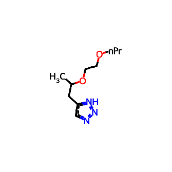 CCCOCCOC(C)Cc1cnn[nH]1